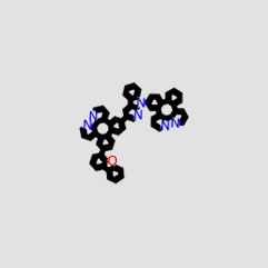 c1ccc2c(c1)-c1ccc(-n3c4ccccc4c4cc(-c5ccc6c(c5)-c5cccnc5-c5ncccc5-c5cc(-c7cccc8c7oc7ccccc78)ccc5-6)cnc43)cc1-c1cccnc1-c1ncccc1-2